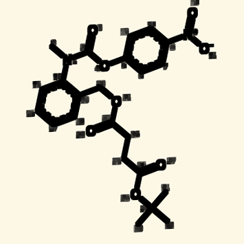 CN(C(=O)Oc1ccc([N+](=O)[O-])cc1)c1ccccc1COC(=O)CCC(=O)OC(C)(C)C